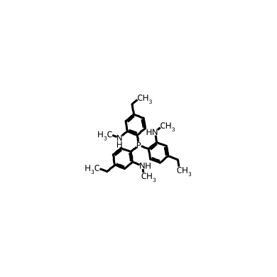 CCc1ccc(P(c2ccc(CC)cc2NC)c2ccc(CC)cc2NC)c(NC)c1